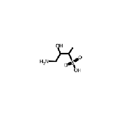 CC(C(O)CN)S(=O)(=O)O